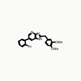 COc1ccc(Cc2nc3ncc(-c4ccccc4C(C)=O)cc3[nH]2)cc1OC